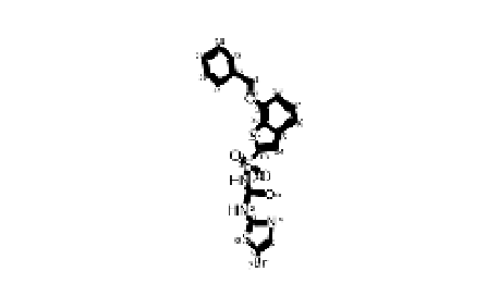 O=C(Nc1ncc(Br)s1)NS(=O)(=O)c1cc2cccc(OCc3ccccc3)c2s1